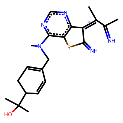 CC(=N)/C(C)=C1\C(=N)Sc2c1ncnc2N(C)CC1=CCC(C(C)(C)O)C=C1